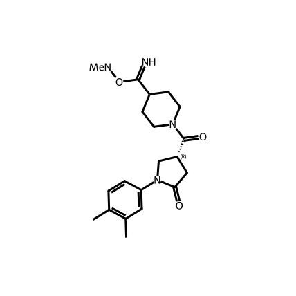 CNOC(=N)C1CCN(C(=O)[C@@H]2CC(=O)N(c3ccc(C)c(C)c3)C2)CC1